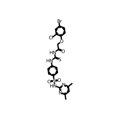 Cc1cc(C)nc(NS(=O)(=O)c2ccc(NC(=S)NC(=O)COc3ccc(Br)cc3Cl)cc2)n1